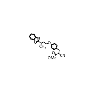 COC(=O)C(C#N)Cc1ccc(OCCN(C)c2nc3ccccc3o2)cc1